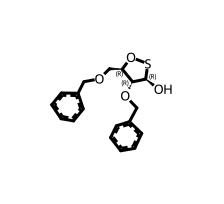 O[C@@H]1SO[C@H](COCc2ccccc2)[C@H]1OCc1ccccc1